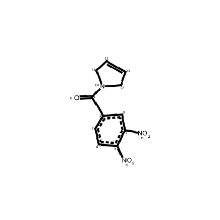 O=C(c1ccc([N+](=O)[O-])c([N+](=O)[O-])c1)N1CC=CC1